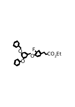 CCOC(=O)CCc1ccc(OCc2cc(OCc3ccccc3)cc(Oc3ccccc3)c2)c(F)c1